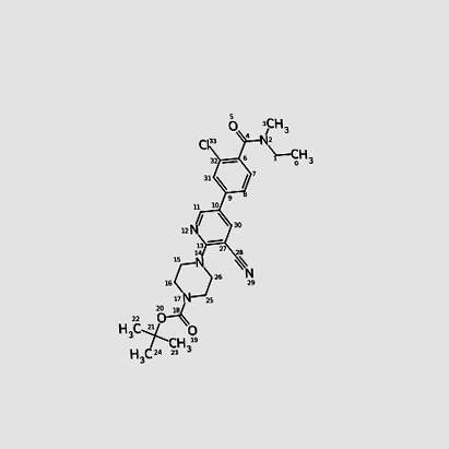 CCN(C)C(=O)c1ccc(-c2cnc(N3CCN(C(=O)OC(C)(C)C)CC3)c(C#N)c2)cc1Cl